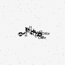 COc1c(Cl)c(NC(=O)c2csc3c(Nc4nc(C)cc(NCCN5CCOCC5)n4)ncnc23)c(Cl)c(OC)c1Br